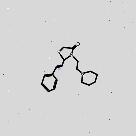 O=C1CSC(/C=C/c2ccccc2)N1CCN1CCCCC1